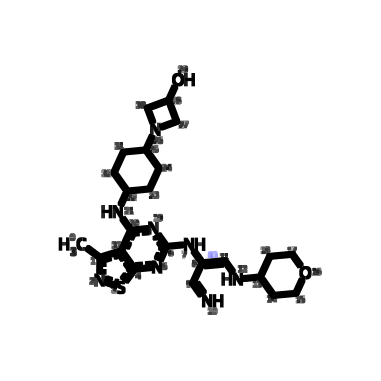 Cc1nsc2nc(N/C(C=N)=C/NC3CCOCC3)nc(NC3CCC(N4CC(O)C4)CC3)c12